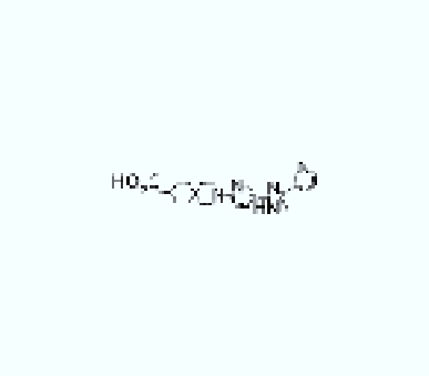 O=C(O)CC1CCC2(CC1)CCN(c1ccc(-c3nc(-c4cccnc4)n[nH]3)cn1)CC2